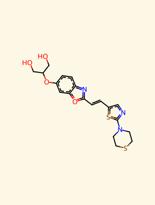 OCC(CO)Oc1ccc2nc(/C=C/c3cnc(N4CCSCC4)s3)oc2c1